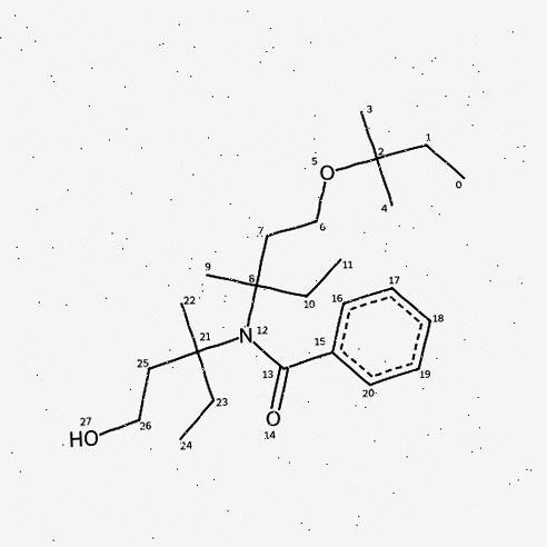 CCC(C)(C)OCCC(C)(CC)N(C(=O)c1ccccc1)C(C)(CC)CCO